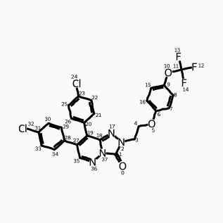 O=c1n(CCOc2ccc(OC(F)(F)F)cc2)nc2c(-c3ccc(Cl)cc3)c(-c3ccc(Cl)cc3)cnn12